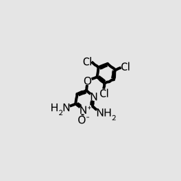 Nc1cc(Oc2c(Cl)cc(Cl)cc2Cl)nc(N)[n+]1[O-]